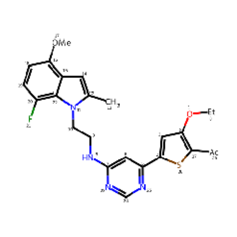 CCOc1cc(-c2cc(NCCn3c(C)cc4c(OC)ccc(F)c43)ncn2)sc1C(C)=O